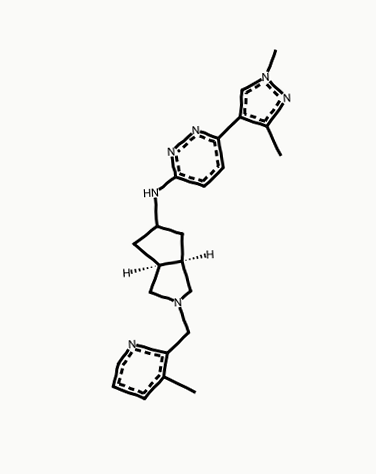 Cc1cccnc1CN1C[C@H]2CC(Nc3ccc(-c4cn(C)nc4C)nn3)C[C@H]2C1